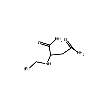 CC(C)(C)CNC(CC(N)=O)C(N)=O